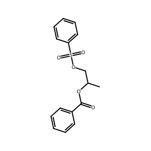 CC(COS(=O)(=O)c1ccccc1)OC(=O)c1ccccc1